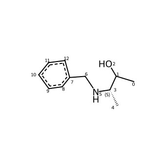 CC(O)[C@H](C)NCc1ccccc1